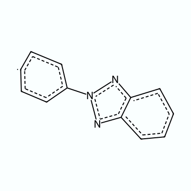 [c]1ccc(-n2nc3ccccc3n2)cc1